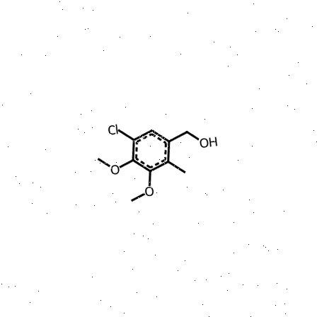 COc1c(Cl)cc(CO)c(C)c1OC